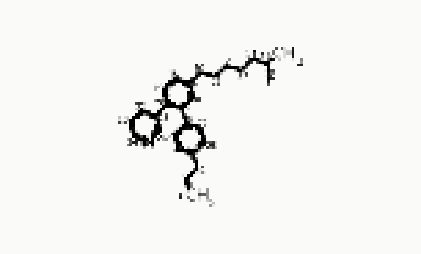 C=CCc1ccc(-c2cc(CCCCCC(C)F)ccc2-c2cccnc2)cc1